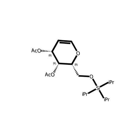 CC(=O)O[C@@H]1[C@H](OC(C)=O)C=CO[C@@H]1CO[Si](C(C)C)(C(C)C)C(C)C